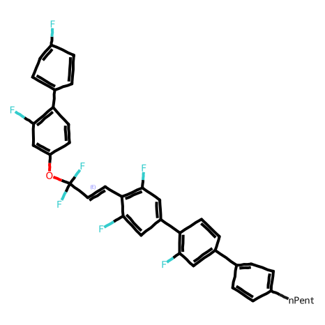 CCCCCc1ccc(-c2ccc(-c3cc(F)c(/C=C/C(F)(F)Oc4ccc(-c5ccc(F)cc5)c(F)c4)c(F)c3)c(F)c2)cc1